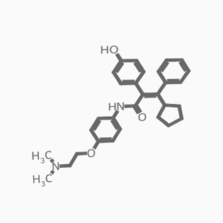 CN(C)CCOc1ccc(NC(=O)/C(=C(/c2ccccc2)C2CCCC2)c2ccc(O)cc2)cc1